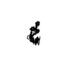 CCCN(C=CCc1cccc(C(=CCN2CCCC2)c2ccc(C)cc2)n1)C(=O)c1ccc(Cn2c(C)nc3cnccc32)cc1